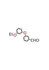 CCOc1cccc(Oc2cccc([C]=O)c2)c1